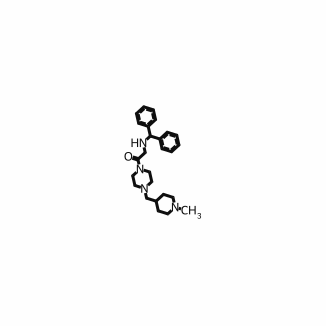 CN1CCC(CN2CCN(C(=O)CNC(c3ccccc3)c3ccccc3)CC2)CC1